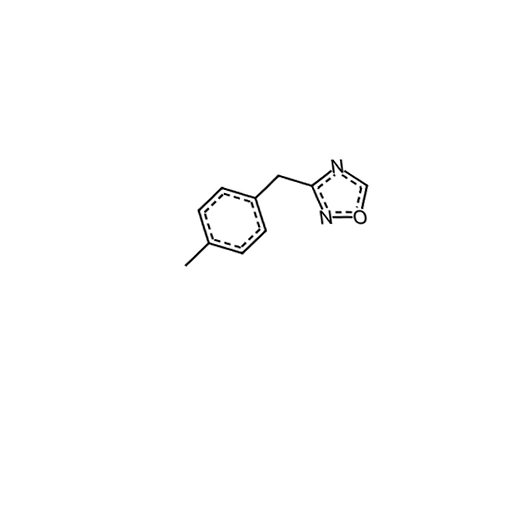 Cc1ccc(Cc2ncon2)cc1